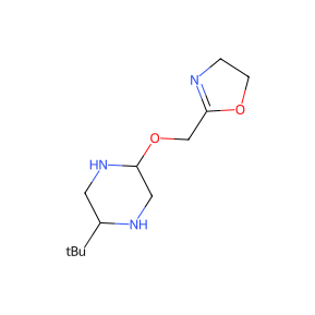 CC(C)(C)C1CNC(OCC2=NCCO2)CN1